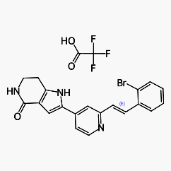 O=C(O)C(F)(F)F.O=C1NCCc2[nH]c(-c3ccnc(/C=C/c4ccccc4Br)c3)cc21